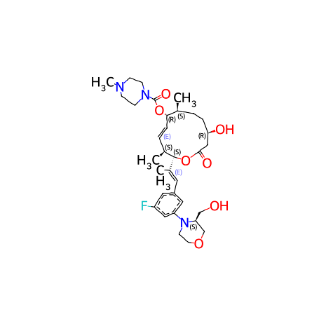 C/C(=C\c1cc(F)cc(N2CCOC[C@@H]2CO)c1)[C@H]1OC(=O)C[C@H](O)CC[C@H](C)[C@@H](OC(=O)N2CCN(C)CC2)/C=C/[C@@H]1C